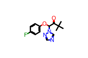 CC(C)(C)C(=O)C(Oc1ccc(F)cc1)n1cncn1